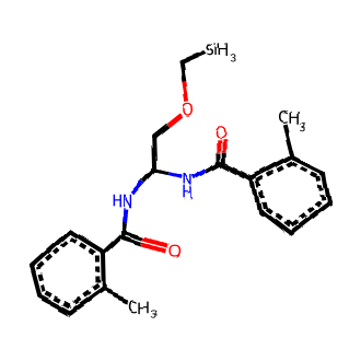 Cc1ccccc1C(=O)NC(COC[SiH3])NC(=O)c1ccccc1C